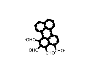 O=[C]c1c([C]=O)c2c([C]=O)ccc3c4cccc5cccc(c(c1[C]=O)c23)c54